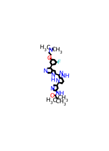 CN(C)CCOc1cc(F)cc(-c2cncc3[nH]c(-c4n[nH]c5ccc(-c6cncc(NC(=O)C(C)(C)C)c6)nc45)cc23)c1